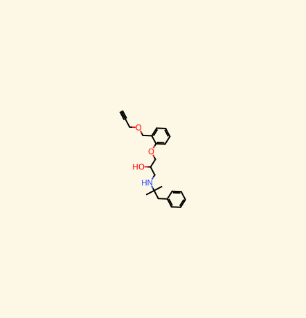 C#CCOCc1ccccc1OCC(O)CNC(C)(C)Cc1ccccc1